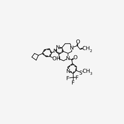 C=CC(=O)N1CCc2nn(-c3ccc(C4CCC4)cc3O)c3c2C(C1)N(C(=O)c1cnc(C(F)(F)F)c(SC)c1)CC3